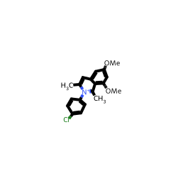 COc1cc(OC)c2c(C)[n+](-c3ccc(Cl)cc3)c(C)cc2c1